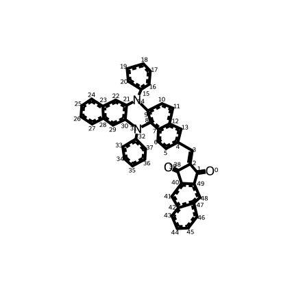 O=C1C(=Cc2ccc3c4c(ccc3c2)N(c2ccccc2)c2cc3ccccc3cc2N4c2ccccc2)C(=O)c2cc3ccccc3cc21